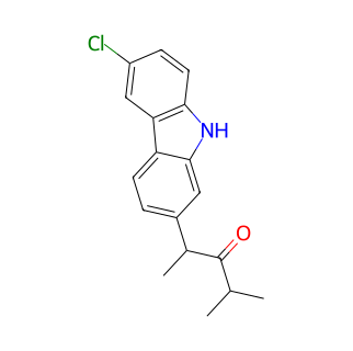 CC(C)C(=O)C(C)c1ccc2c(c1)[nH]c1ccc(Cl)cc12